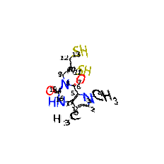 Cc1cn(C)c2c(=O)n(C[C@@H](S)CS)c(=O)[nH]c12